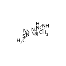 Cc1cn2c(-c3cncc(N[C@@H]4CNC[C@@H]4C)n3)cnc2s1